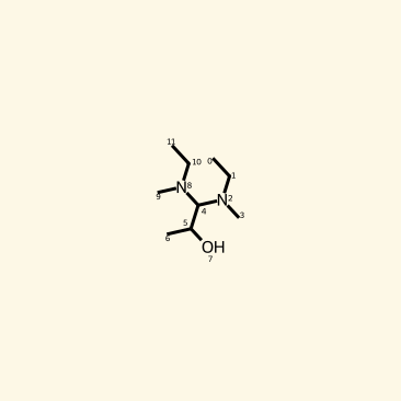 CCN(C)C(C(C)O)N(C)CC